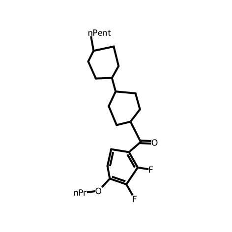 CCCCCC1CCC(C2CCC(C(=O)c3ccc(OCCC)c(F)c3F)CC2)CC1